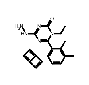 CCn1c(-c2cccc(C)c2C)nc(NN)nc1=O.c1cc2ccc1-2